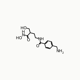 NCc1ccc(C(=O)NCCC(CO)C(=O)NO)cc1